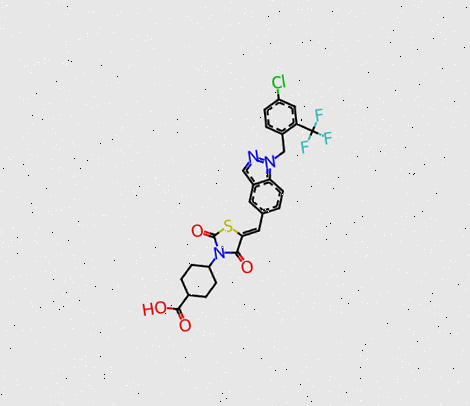 O=C(O)C1CCC(N2C(=O)SC(=Cc3ccc4c(cnn4Cc4ccc(Cl)cc4C(F)(F)F)c3)C2=O)CC1